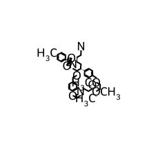 CCO[C@H](C)COCc1ccc([C@H]2C[C@H](CCC#N)N(S(=O)(=O)c3ccc(C)cc3)C[C@@H]2OCc2ccc3c(c2)N(CCCOC)CCO3)cc1